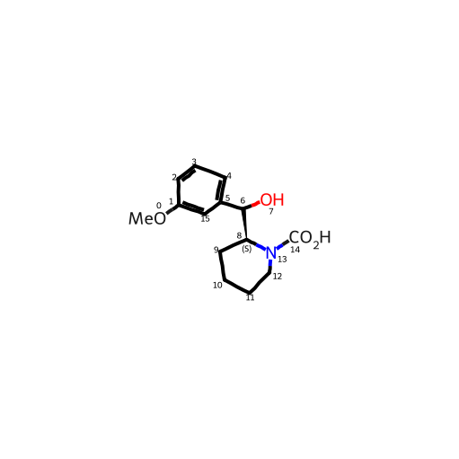 COc1cccc(C(O)[C@@H]2CCCCN2C(=O)O)c1